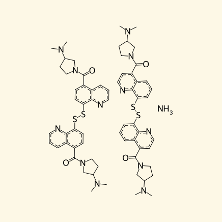 CN(C)C1CCN(C(=O)c2ccc(SSc3ccc(C(=O)N4CCC(N(C)C)C4)c4cccnc34)c3ncccc23)C1.CN(C)C1CCN(C(=O)c2ccnc3c(SSc4cccc5c(C(=O)N6CCC(N(C)C)C6)ccnc45)cccc23)C1.N